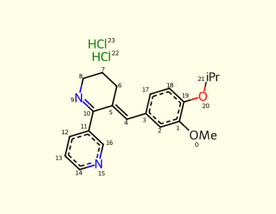 COc1cc(C=C2CCCN=C2c2cccnc2)ccc1OC(C)C.Cl.Cl